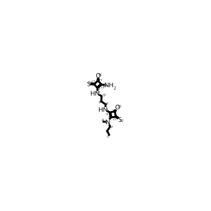 CCCN(C)c1c(NCCCNc2c(N)c(=O)c2=S)c(=O)c1=S